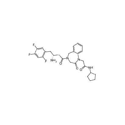 N[C@@H](CC(=O)N1CC(=O)N(CC(=O)NC2CCCC2)c2ccccc2C1)Cc1cc(F)c(F)cc1F